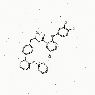 O=C(N[C@@H](Cc1ccc(-c2ccccc2Oc2ccccc2)cc1)C(=O)O)c1cc(Cl)ccc1Nc1ccc(Cl)c(Cl)c1